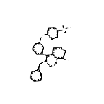 CCCS(=O)(=O)c1ccc(Oc2cccc(-c3c(Cc4ccccc4)cnc4c(C(F)(F)F)cccc34)c2)cc1